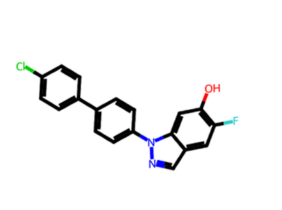 Oc1cc2c(cnn2-c2ccc(-c3ccc(Cl)cc3)cc2)cc1F